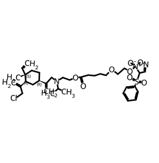 C=C[C@]1(C)CC[C@@H](C(=C)CN(CCOC(=O)CCCCOCCO[N+]2([O-])ON=CC2S(=O)(=O)c2ccccc2)C(C)C)C[C@H]1C(=C)CCl